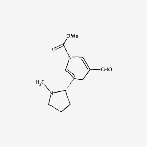 COC(=O)N1C=C(C=O)CC([C@@H]2CCCN2C)=C1